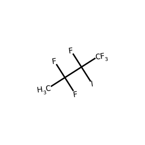 CC(F)(F)C(F)(I)C(F)(F)F